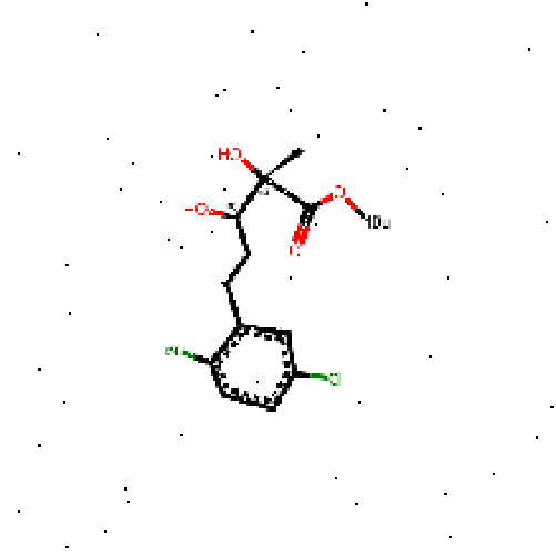 CC(C)(C)OC(=O)[C@@](C)(O)[C@H](O)CCc1cc(Cl)ccc1Br